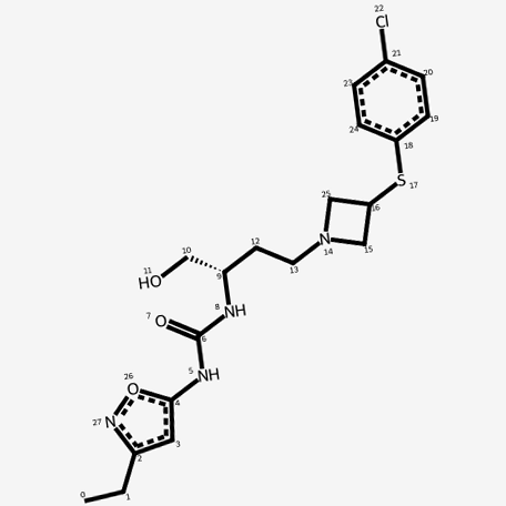 CCc1cc(NC(=O)N[C@H](CO)CCN2CC(Sc3ccc(Cl)cc3)C2)on1